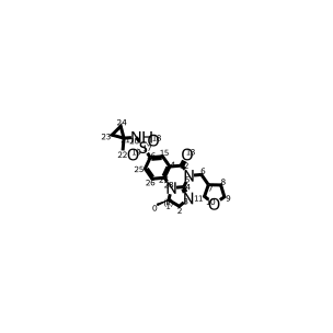 C[C@@H]1CN=C2N(CC3CCOC3)C(=O)c3cc(S(=O)(=O)NC4(C)CC4)ccc3N21